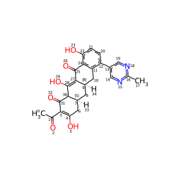 CC(=O)C1=C(O)C[C@@H]2C[C@@H]3Cc4c(-c5cnc(C)nc5)ccc(O)c4C(=O)C3=C(O)C2C1=O